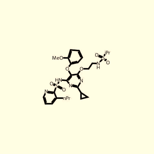 CCCc1cccnc1S(=O)(=O)Nc1nc(C2CC2)nc(OCCNS(=O)(=O)C(C)C)c1Oc1ccccc1OC